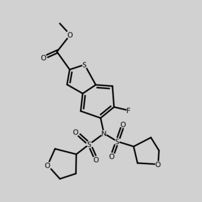 COC(=O)c1cc2cc(N(S(=O)(=O)C3CCOC3)S(=O)(=O)C3CCOC3)c(F)cc2s1